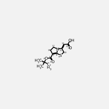 CC(C)(C)OC(=O)C1=C2SCC(=CC(=O)O)N2CC1